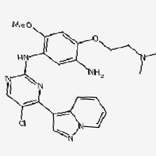 COc1cc(OCCN(C)C)c(N)cc1Nc1ncc(Cl)c(-c2cnn3ccccc23)n1